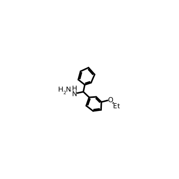 CCOc1cccc(C(NN)c2ccccc2)c1